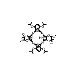 CO[C@]1(C)Oc2c(c3nc4nc(nc5[nH]c(nc6nc(nc2[nH]3)-c2c(OC(C)C)ccc(OC(C)C)c2-6)c2c5O[C@@](C)(OC)[C@](C)(OC)O2)-c2c(OC(C)C)ccc(OC(C)C)c2-4)O[C@@]1(C)OC